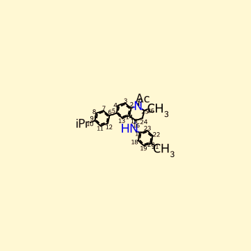 CC(=O)N1c2ccc(-c3ccc(C(C)C)cc3)cc2C(Nc2ccc(C)cc2)CC1C